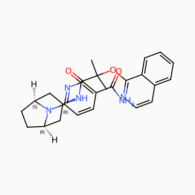 CC(C)(Oc1nccc2ccccc12)C(=O)N[C@H]1C[C@H]2CC[C@@H](C1)N2c1ccc(C(N)=O)cn1